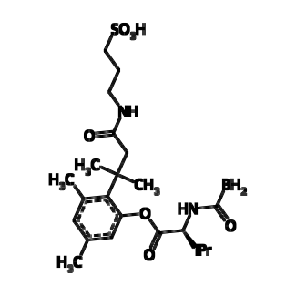 BC(=O)N[C@H](C(=O)Oc1cc(C)cc(C)c1C(C)(C)CC(=O)NCCCS(=O)(=O)O)C(C)C